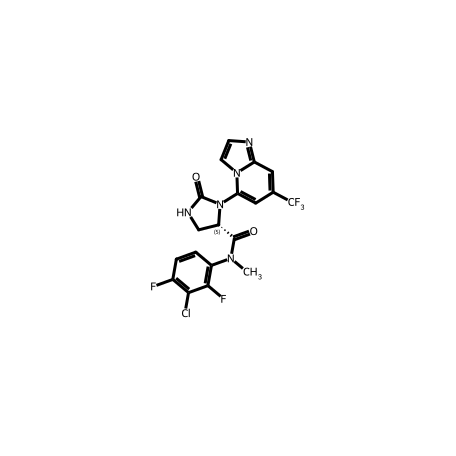 CN(C(=O)[C@@H]1CNC(=O)N1c1cc(C(F)(F)F)cc2nccn12)c1ccc(F)c(Cl)c1F